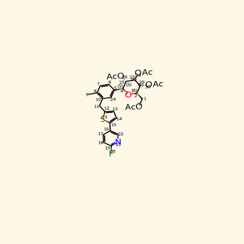 CC(=O)OC[C@H]1O[C@@H](c2ccc(C)c(Cc3ccc(-c4ccc(F)nc4)s3)c2)[C@H](OC(C)=O)[C@@H](OC(C)=O)[C@@H]1OC(C)=O